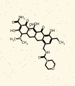 CCc1cc(CNC(=O)N2CCOCC2)c2c(c1O)C(=O)C1=C(O)[C@]3(O)C(=O)C(C(N)=O)=C(O)C(N(C)C)C3CC1C2